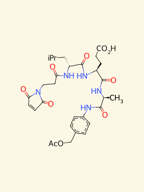 CC(=O)OCc1ccc(NC(=O)[C@H](C)NC(=O)[C@H](CCC(=O)O)NC(=O)[C@@H](CC(C)C)NC(=O)CCN2C(=O)C=CC2=O)cc1